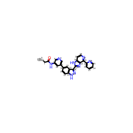 CC(C)(C)CC(=O)Nc1cncc(-c2ccc3[nH]nc(-c4nc5c(-c6ccccn6)nccc5[nH]4)c3c2)c1